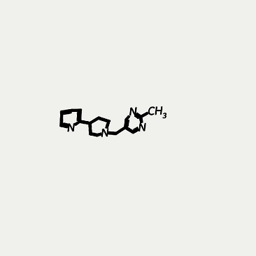 Cc1ncc(CN2CCC(c3ccccn3)CC2)cn1